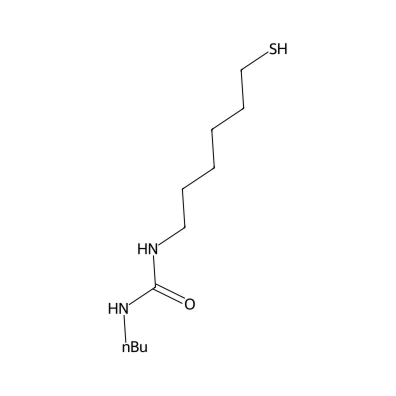 CCCCNC(=O)NCCCCCCS